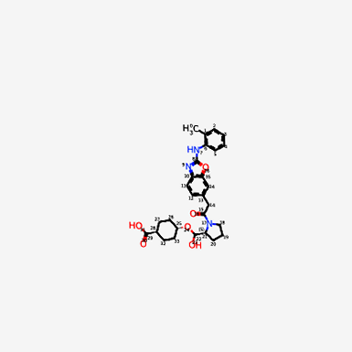 Cc1ccccc1Nc1nc2ccc(CC(=O)N3CCC[C@H]3C(O)O[C@H]3CC[C@H](C(=O)O)CC3)cc2o1